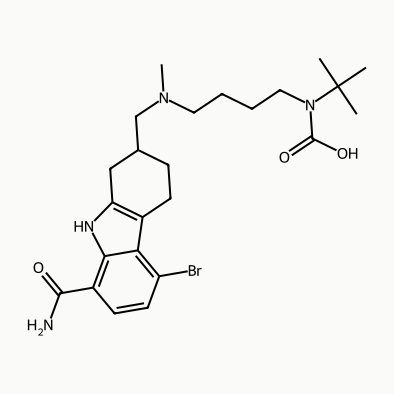 CN(CCCCN(C(=O)O)C(C)(C)C)CC1CCc2c([nH]c3c(C(N)=O)ccc(Br)c23)C1